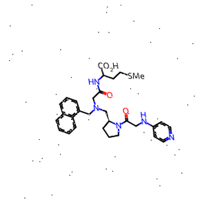 CSCCC(NC(=O)CN(Cc1cccc2ccccc12)C[C@@H]1CCCN1C(=O)CNc1ccncc1)C(=O)O